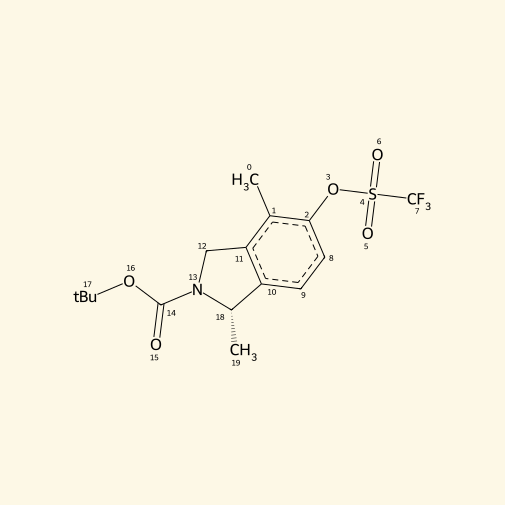 Cc1c(OS(=O)(=O)C(F)(F)F)ccc2c1CN(C(=O)OC(C)(C)C)[C@H]2C